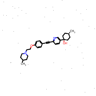 CC1CCN(CCOc2ccc(C#Cc3ccc([C@]4(O)CC[C@@H](C)CC4)cn3)cc2)CC1